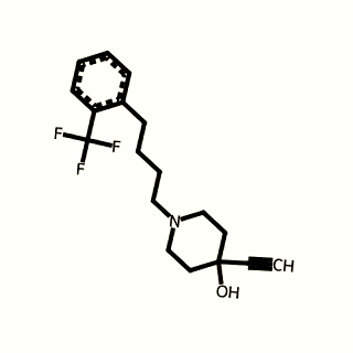 C#CC1(O)CCN(CCCCc2ccccc2C(F)(F)F)CC1